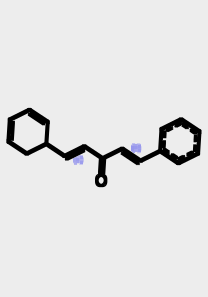 O=C(/C=C/c1ccccc1)/C=C/C1C=CC=CC1